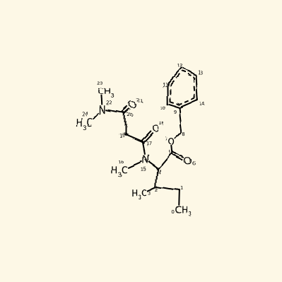 CCC(C)C(C(=O)OCc1ccccc1)N(C)C(=O)CC(=O)N(C)C